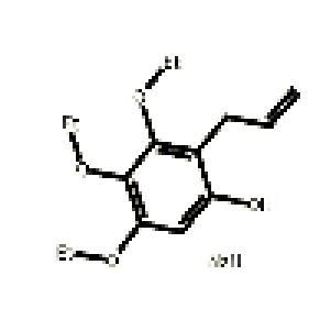 C=CCc1c(O)cc(OCC)c(OCC)c1OCC.[NaH]